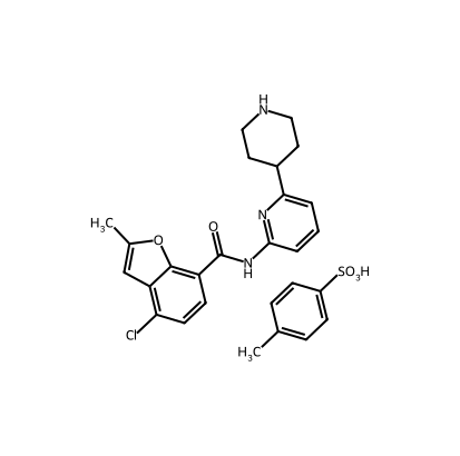 Cc1cc2c(Cl)ccc(C(=O)Nc3cccc(C4CCNCC4)n3)c2o1.Cc1ccc(S(=O)(=O)O)cc1